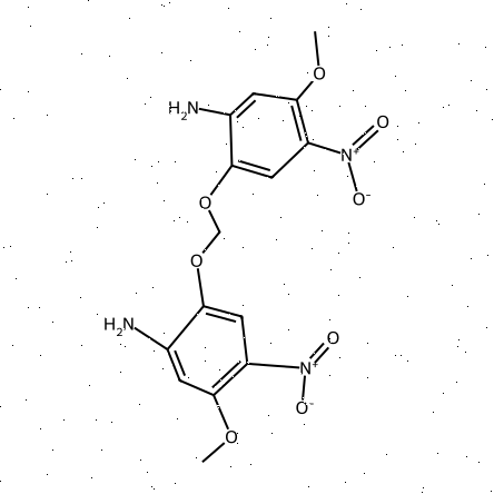 COc1cc(N)c(OCOc2cc([N+](=O)[O-])c(OC)cc2N)cc1[N+](=O)[O-]